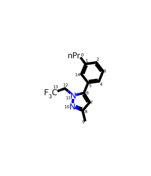 CCCc1cccc(-c2cc(C)nn2CC(F)(F)F)c1